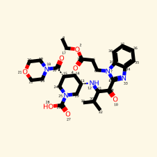 CCOC(=O)CCn1c(C(=O)C(N[C@H]2C[C@@H](C(=O)N3CCOCC3)CN(C(=O)O)C2)C(C)C)nc2ccccc21